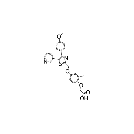 COc1ccc(-c2nc(COc3ccc(OCC(=O)O)c(C)c3)sc2-c2cccnc2)cc1